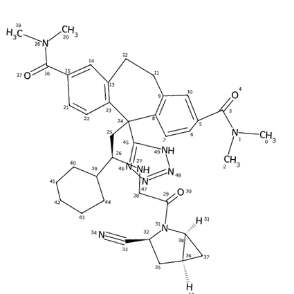 CN(C)C(=O)c1ccc2c(c1)CCc1cc(C(=O)N(C)C)ccc1C2(C[C@@H](NCC(=O)N1[C@H](C#N)C[C@@H]2C[C@@H]21)C1CCCCC1)c1nnn[nH]1